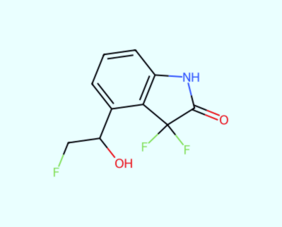 O=C1Nc2cccc(C(O)CF)c2C1(F)F